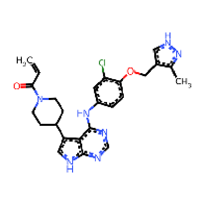 C=CC(=O)N1CCC(c2c[nH]c3ncnc(Nc4ccc(OCc5c[nH]nc5C)c(Cl)c4)c23)CC1